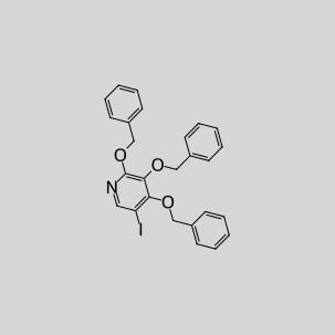 Ic1cnc(OCc2ccccc2)c(OCc2ccccc2)c1OCc1ccccc1